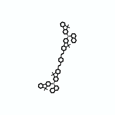 CC1(C)c2ccccc2-c2ccc(N(c3ccc4c(c3)C(C)(C)c3cc(/C=C/c5ccc(/C=C/c6ccc7c(c6)C(C)(C)c6cc(N(c8ccc9c(c8)C(C)(C)c8ccccc8-9)c8cccc9ccccc89)ccc6-7)cc5)ccc3-4)c3cccc4ccccc34)cc21